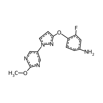 COc1ncc(-n2ccc(Oc3ccc(N)cc3F)n2)cn1